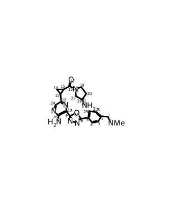 CNCc1ccc(-c2nnc(-c3nc(C4CC4C(=O)N4CC[C@@H](N)C4)cnc3N)o2)cc1